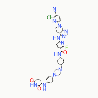 N#Cc1ccc(N2CCc3c(ncnc3Nc3ccc(C(=O)NC4CCC(CN5CCN(c6ccc(NC7CCC(=O)NC7=O)cc6)CC5)CC4)c(F)n3)C2)nc1Cl